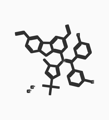 C=Cc1ccc2c(c1)-c1cc(C=C)c[c]([Zr+2]([C]3=CC(C(C)(C)C)=CC3C)=[C](c3cccc(Cl)c3)c3cccc(Cl)c3)c1C2.[Cl-].[Cl-]